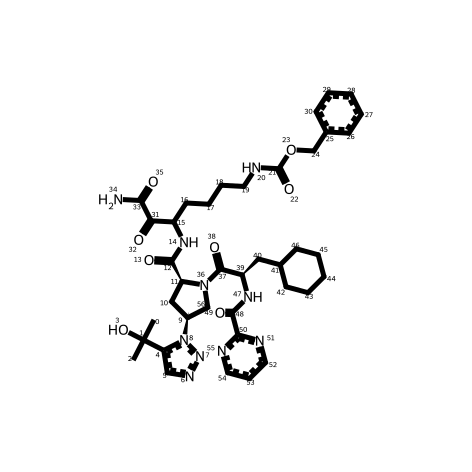 CC(C)(O)c1cnnn1[C@H]1C[C@@H](C(=O)NC(CCCCNC(=O)OCc2ccccc2)C(=O)C(N)=O)N(C(=O)[C@@H](CC2CCCCC2)NC(=O)c2ncccn2)C1